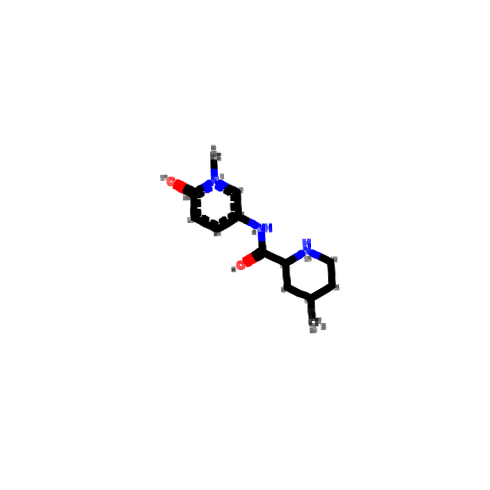 CCn1cc(NC(=O)C2CC(C(F)(F)F)CCN2)ccc1=O